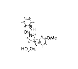 COc1ccc2c(c1)c1c(n2CC(=O)O)CCN(C(=O)Nc2ccccc2)C1